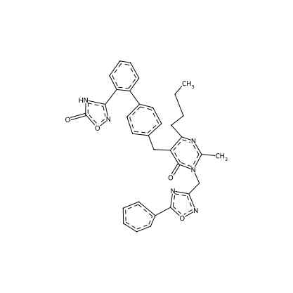 CCCCc1nc(C)n(Cc2noc(-c3ccccc3)n2)c(=O)c1Cc1ccc(-c2ccccc2-c2noc(=O)[nH]2)cc1